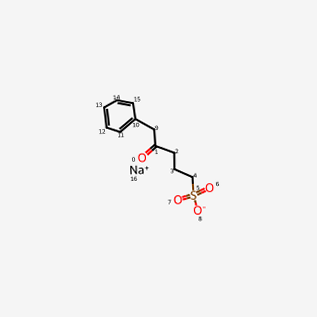 O=C(CCCS(=O)(=O)[O-])Cc1ccccc1.[Na+]